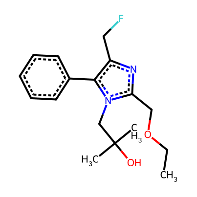 CCOCc1nc(CF)c(-c2ccccc2)n1CC(C)(C)O